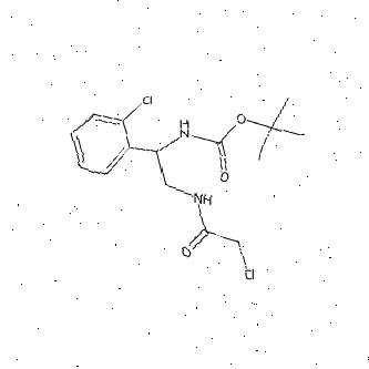 CC(C)(C)OC(=O)NC(CNC(=O)CCl)c1ccccc1Cl